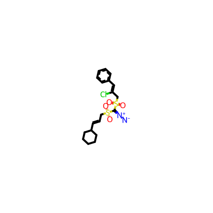 [N-]=[N+]=C(S(=O)(=O)CC=CC1CCCCC1)S(=O)(=O)CC(Cl)=Cc1ccccc1